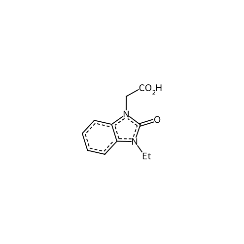 CCn1c(=O)n(CC(=O)O)c2ccccc21